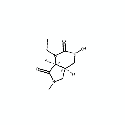 CCN1C(=O)N(O)C[C@H]2CN(C)C(=O)[C@H]21